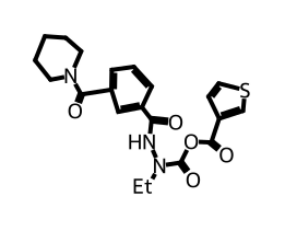 CCN(NC(=O)c1cccc(C(=O)N2CCCCC2)c1)C(=O)OC(=O)c1ccsc1